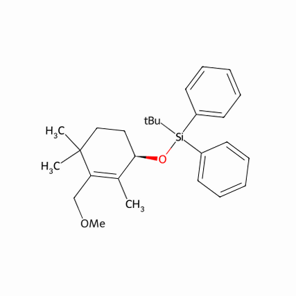 COCC1=C(C)[C@H](O[Si](c2ccccc2)(c2ccccc2)C(C)(C)C)CCC1(C)C